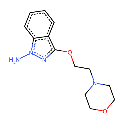 Nn1nc(OCCN2CCOCC2)c2ccccc21